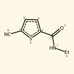 CCNC(=O)c1ccc(C#N)s1